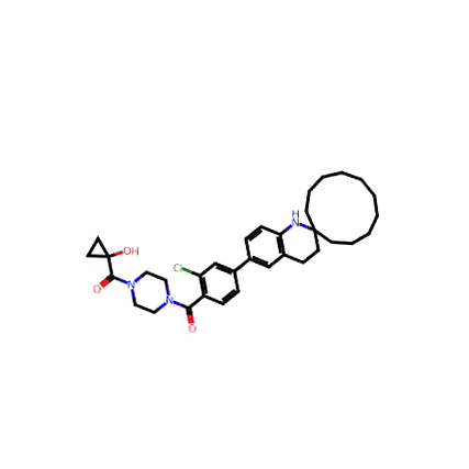 O=C(c1ccc(-c2ccc3c(c2)CCC2(CCCCCCCCCC2)N3)cc1Cl)N1CCN(C(=O)C2(O)CC2)CC1